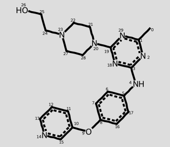 Cc1nc(Nc2ccc(Oc3cccnc3)cc2)nc(N2CCN(CCO)CC2)n1